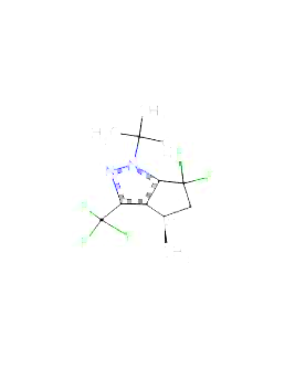 C[C@@H]1CC(F)(F)c2c1c(C(F)(F)F)nn2C(C)(C)C